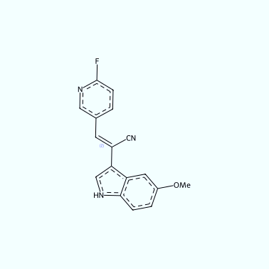 COc1ccc2[nH]cc(/C(C#N)=C/c3ccc(F)nc3)c2c1